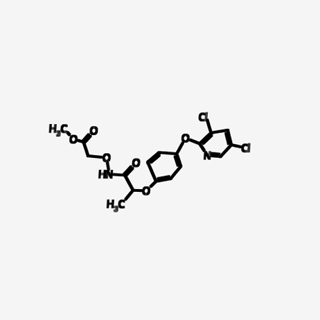 COC(=O)CONC(=O)C(C)Oc1ccc(Oc2ncc(Cl)cc2Cl)cc1